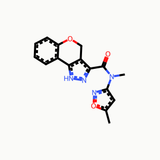 Cc1cc(N(C)C(=O)c2n[nH]c3c2COc2ccccc2-3)no1